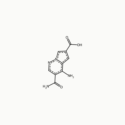 NC(=O)c1cnn2cc(C(=O)O)cc2c1N